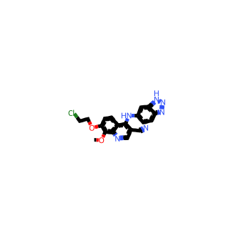 COc1c(OCCCl)ccc2c(Nc3ccc4nn[nH]c4c3)c(C#N)cnc12